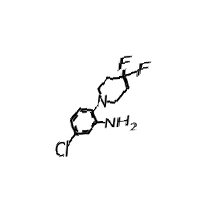 Nc1cc(Cl)ccc1N1CCC(F)(F)CC1